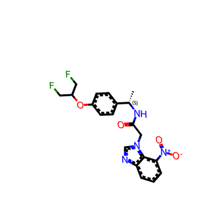 C[C@H](NC(=O)Cn1cnc2cccc([N+](=O)[O-])c21)c1ccc(OC(CF)CF)cc1